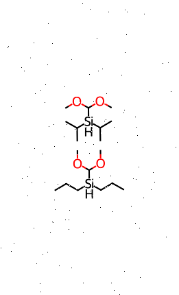 CCC[SiH](CCC)C(OC)OC.COC(OC)[SiH](C(C)C)C(C)C